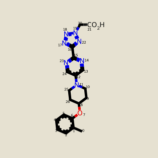 Cc1ccccc1OC1CCN(c2cnc(-c3nnn(CC(=O)O)n3)nc2)CC1